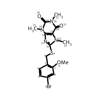 COc1cc(Br)ccc1CSc1nc2c(c(=O)n(C)c(=O)n2C)n1C